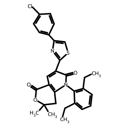 CCc1cccc(CC)c1-n1c2c(cc(-c3nc(-c4ccc(Cl)cc4)cs3)c1=O)C(=O)OC(C)(C)C2